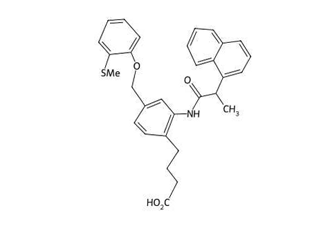 CSc1ccccc1OCc1ccc(CCCC(=O)O)c(NC(=O)C(C)c2cccc3ccccc23)c1